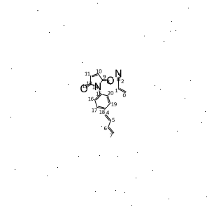 C=CC#N.C=CC=C.O=C1C=CC(=O)N1c1ccccc1